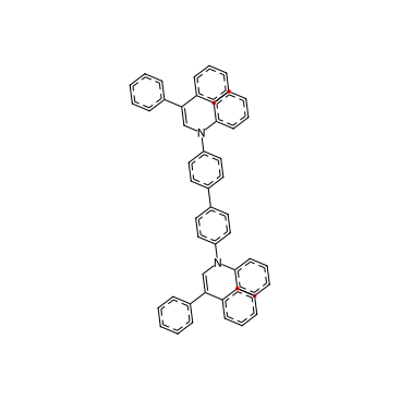 C(=C(c1ccccc1)c1ccccc1)N(c1ccccc1)c1ccc(-c2ccc(N(C=C(c3ccccc3)c3ccccc3)c3ccccc3)cc2)cc1